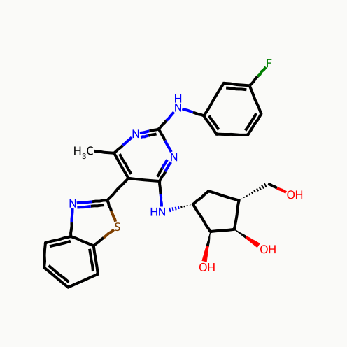 Cc1nc(Nc2cccc(F)c2)nc(N[C@@H]2C[C@H](CO)[C@@H](O)[C@H]2O)c1-c1nc2ccccc2s1